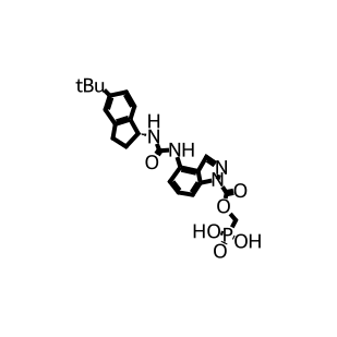 CC(C)(C)c1ccc2c(c1)CC[C@H]2NC(=O)Nc1cccc2c1cnn2C(=O)OCP(=O)(O)O